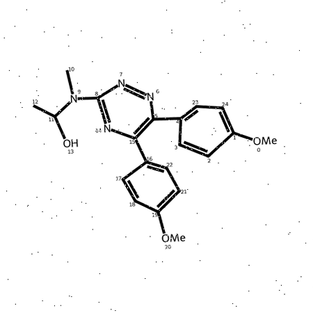 COc1ccc(-c2nnc(N(C)C(C)O)nc2-c2ccc(OC)cc2)cc1